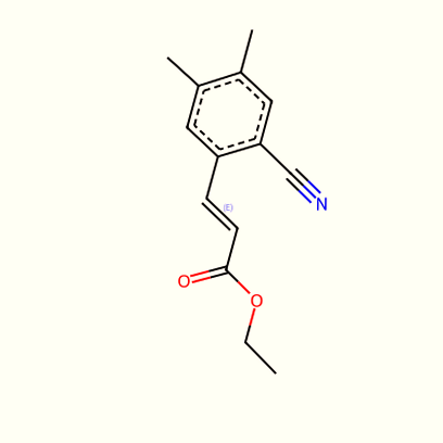 CCOC(=O)/C=C/c1cc(C)c(C)cc1C#N